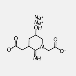 N=C1C(CC(=O)[O-])CC(O)CN1CC(=O)[O-].[Na+].[Na+]